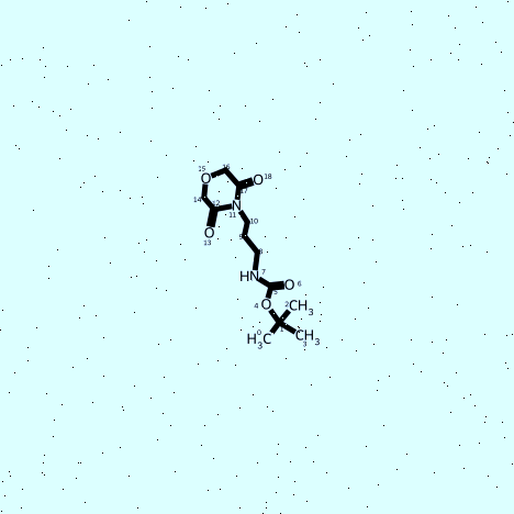 CC(C)(C)OC(=O)NCCCN1C(=O)COCC1=O